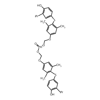 Cc1cc(OCO[PH](=O)OCOc2cc(C)c(Sc3ccc(O)c(C(C)C)c3)c(C)c2)cc(C)c1Sc1ccc(O)c(C(C)C)c1